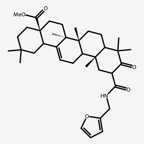 COC(=O)[C@]12CCC(C)(C)CC1C1=CCC3[C@@]4(C)CC(C(=O)NCc5ccco5)C(=O)C(C)(C)C4CC[C@@]3(C)[C@]1(C)CC2